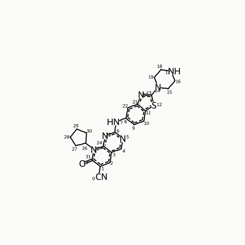 N#Cc1cc2cnc(Nc3ccc4sc(N5CCNCC5)nc4c3)nc2n(C2CCCC2)c1=O